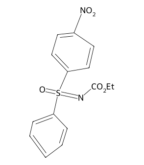 CCOC(=O)N=S(=O)(c1ccccc1)c1ccc([N+](=O)[O-])cc1